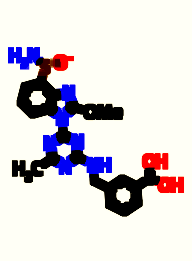 COc1nc2c([S+](N)[O-])cccc2n1-c1nc(C)nc(NCc2cccc(B(O)O)c2)n1